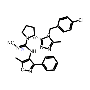 Cc1onc(-c2ccccc2)c1N/C(=N/C#N)N1CCC[C@@H]1c1nnc(C)n1Cc1ccc(Cl)cc1